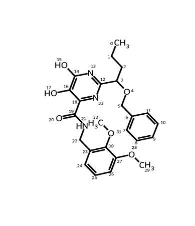 CCCC(OCc1ccccc1)c1nc(O)c(O)c(C(=O)NCc2cccc(OC)c2OC)n1